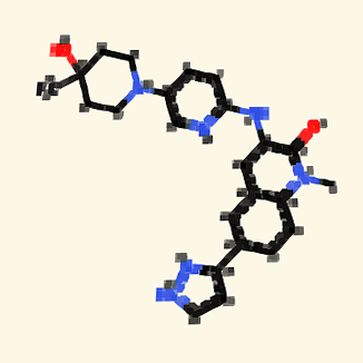 Cn1c(=O)c(Nc2ccc(N3CCC(O)(C(F)(F)F)CC3)cn2)cc2cc(-c3cc[nH]n3)ccc21